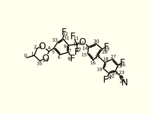 CC1COC(c2cc(F)c(C(F)(F)Oc3ccc(-c4cc(F)c(C#N)c(F)c4)c(F)c3)c(F)c2)OC1